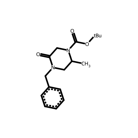 CC1CN(Cc2ccccc2)C(=O)CN1C(=O)OC(C)(C)C